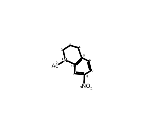 CC(=O)N1CCCc2ccc([N+](=O)[O-])cc21